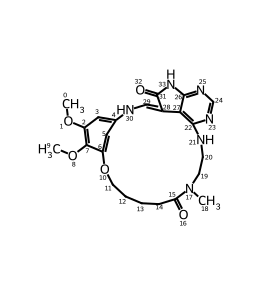 COc1cc2cc(c1OC)OCCCCC(=O)N(C)CCNc1ncnc3c1/C(=C/N2)C(=O)N3